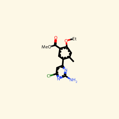 CCOc1cc(C)c(-c2cc(Cl)nc(N)n2)cc1C(=O)OC